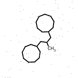 CC(CC1CCC[CH]CCCC1)CC1CCC[CH]CCCC1